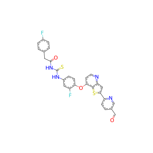 O=Cc1ccc(-c2cc3nccc(Oc4ccc(NC(=S)NC(=O)Cc5ccc(F)cc5)cc4F)c3s2)nc1